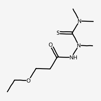 CCOCCC(=O)NN(C)C(=S)N(C)C